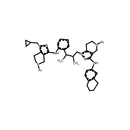 CC(=O)N1CCc2c(c(Nc3ccc4c(c3)CCCC4)nn2CC(C)C(C)c2ccccc2Nc2nn(CC3CC3)c3c2CN(C(C)=O)CC3)C1